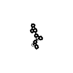 c1ccc2c(c1)-c1cccc3c(-c4ccc5c(c4)c4ccccc4n5-c4ccc5oc6ccccc6c5c4)ccc-2c13